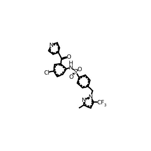 Cc1cc(C(F)(F)F)n(Cc2ccc(S(=O)(=O)Nc3ccc(Cl)cc3C(=O)c3ccncc3)cc2)n1